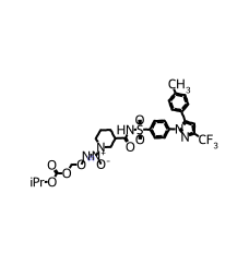 Cc1ccc(-c2cc(C(F)(F)F)nn2-c2ccc(S(=O)(=O)NC(=O)C3CCCN(/[N+]([O-])=N/OCOC(=O)OC(C)C)C3)cc2)cc1